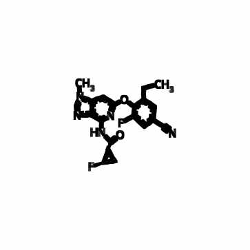 CCc1cc(C#N)cc(F)c1Oc1cc2c(ncn2C)c(NC(=O)[C@H]2C[C@H]2F)n1